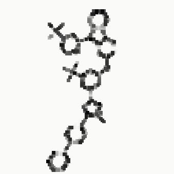 C[n+]1nn(-c2cc(Oc3ccc4c5ccccc5n(-c5cc(C(C)(C)C)ccn5)c4c3)cc(C(C)(C)C)c2)cc1-c1ccc(-c2ccccc2)cc1